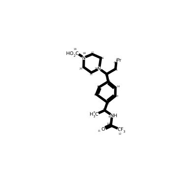 CC(C)CC(c1ccc(C(C)NC(=O)C(F)(F)F)cc1)N1CCN(C(=O)O)CC1